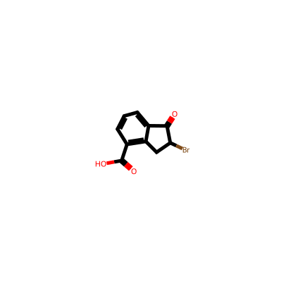 O=C(O)c1cccc2c1CC(Br)C2=O